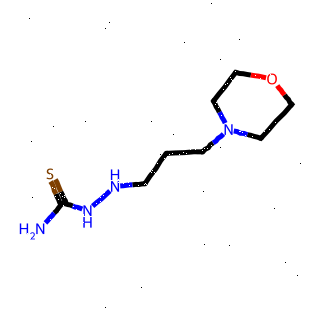 NC(=S)NNCCCN1CCOCC1